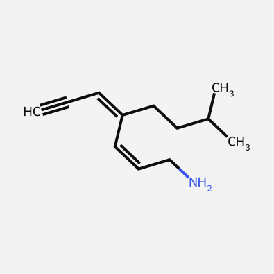 C#C/C=C(\C=C/CN)CCC(C)C